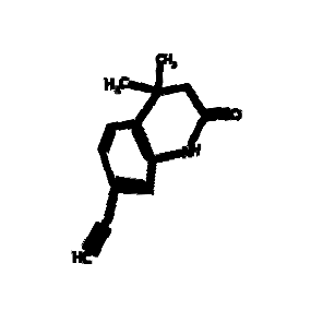 C#Cc1ccc2c(c1)NC(=O)CC2(C)C